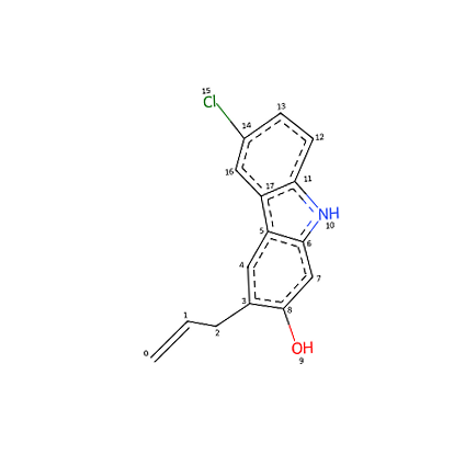 C=CCc1cc2c(cc1O)[nH]c1ccc(Cl)cc12